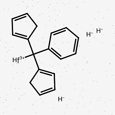 [H-].[H-].[H-].[Hf+3][C](C1=CC=CC1)(C1=CC=CC1)c1ccccc1